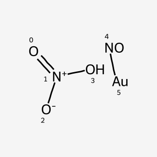 O=[N+]([O-])O.O=[N][Au]